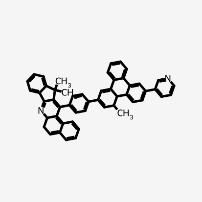 CC1C=C(c2ccc(C3=C4C(=NC5CC=c6ccccc6=C35)c3ccccc3C4(C)C)cc2)C=C2c3ccccc3-c3cc(-c4cccnc4)ccc3C21